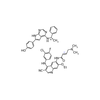 CCOc1cc2ncc(C#N)c(Nc3ccc(F)c(Cl)c3)c2cc1NC(=O)/C=C/CN(C)C.C[C@@H](Nc1ncnc2[nH]c(-c3ccc(O)cc3)cc12)c1ccccc1